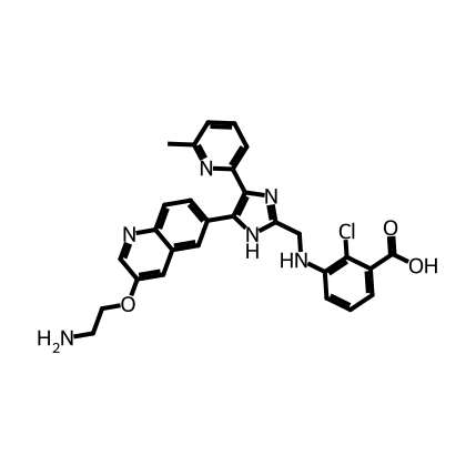 Cc1cccc(-c2nc(CNc3cccc(C(=O)O)c3Cl)[nH]c2-c2ccc3ncc(OCCN)cc3c2)n1